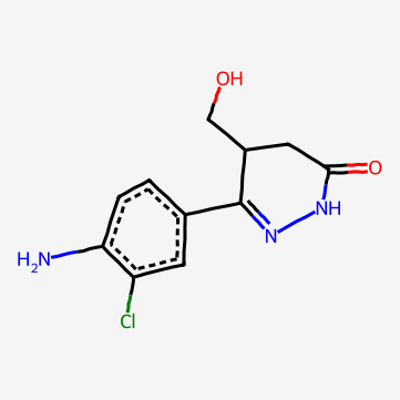 Nc1ccc(C2=NNC(=O)CC2CO)cc1Cl